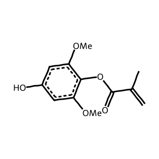 C=C(C)C(=O)Oc1c(OC)cc(O)cc1OC